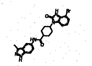 Cc1n[nH]c2ccc(NC(=O)C3CCC(n4c(=O)[nH]c5c(Br)cccc54)CC3)cc12